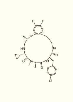 C[C@@H]1CN[C@@H](C2CC2)C(=O)N(C)[C@H](C)C(=O)N[C@H](Cc2ccc(Cl)cc2)C(=O)NCCCc2cc(F)c(F)cc2O1